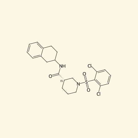 O=C(NC1CCc2ccccc2C1)[C@H]1CCCN(S(=O)(=O)c2c(Cl)cccc2Cl)C1